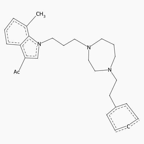 CC(=O)c1cn(CCCN2CCCN(CCc3ccccc3)CC2)c2c(C)cccc12